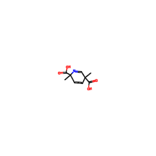 CC1(C(=O)O)C=CC(C)(C(=O)O)N=C1